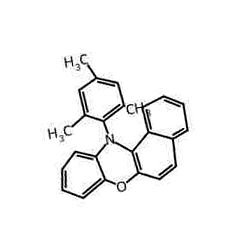 Cc1cc(C)c(N2c3ccccc3Oc3ccc4ccccc4c32)c(C)c1